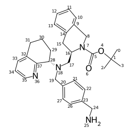 CC(C)(C)OC(=O)N1Cc2ccccc2C[C@@H]1CN(Cc1ccc(CN)cc1)[C@H]1CCCc2cccnc21